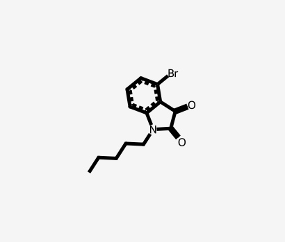 CCCCCN1C(=O)C(=O)c2c(Br)cccc21